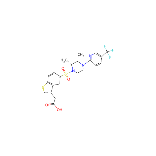 C[C@@H]1[C@H](C)N(c2ccc(C(F)(F)F)cn2)CCN1S(=O)(=O)c1ccc2c(c1)C(CC(=O)O)CS2